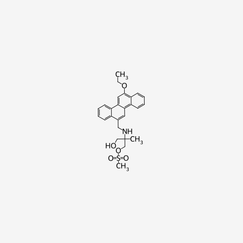 CCOc1cc2c3ccccc3c(CNC(C)(CO)COS(C)(=O)=O)cc2c2ccccc12